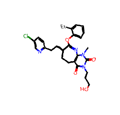 CCc1ccccc1OC1=Nc2c(c(=O)n(CCCO)c(=O)n2C)CCC1CCc1ccc(Cl)cn1